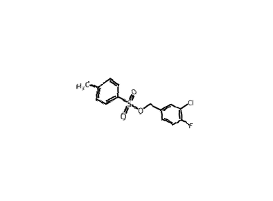 Cc1ccc(S(=O)(=O)OCc2ccc(F)c(Cl)c2)cc1